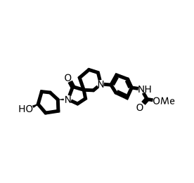 COC(=O)Nc1ccc(N2CCCC3(CCN([C@H]4CC[C@H](O)CC4)C3=O)C2)cc1